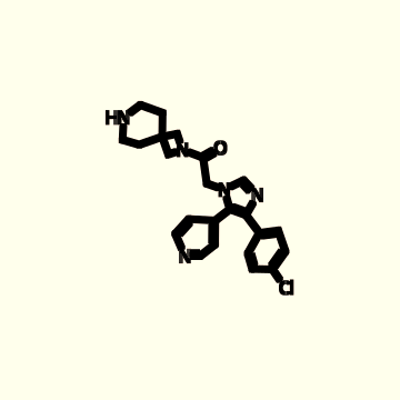 O=C(Cn1cnc(-c2ccc(Cl)cc2)c1-c1ccncc1)N1CC2(CCNCC2)C1